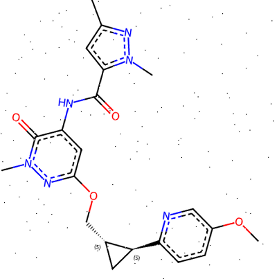 COc1ccc([C@H]2C[C@@H]2COc2cc(NC(=O)c3cc(C)nn3C)c(=O)n(C)n2)nc1